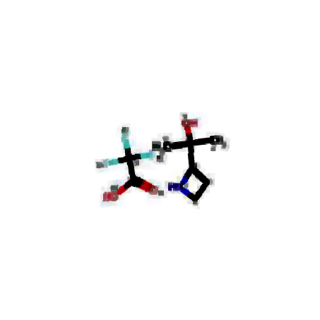 CC(C)(O)C1CCN1.O=C(O)C(F)(F)F